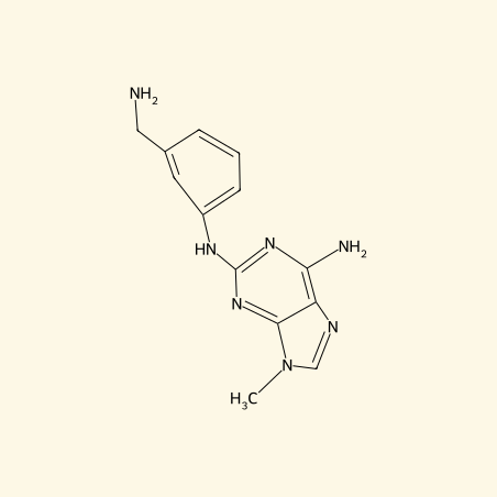 Cn1cnc2c(N)nc(Nc3cccc(CN)c3)nc21